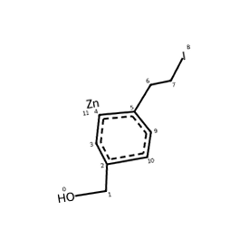 OCc1ccc(CCI)cc1.[Zn]